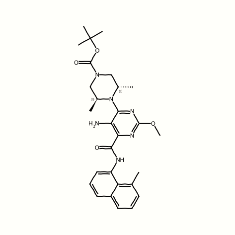 COc1nc(C(=O)Nc2cccc3cccc(C)c23)c(N)c(N2[C@@H](C)CN(C(=O)OC(C)(C)C)C[C@@H]2C)n1